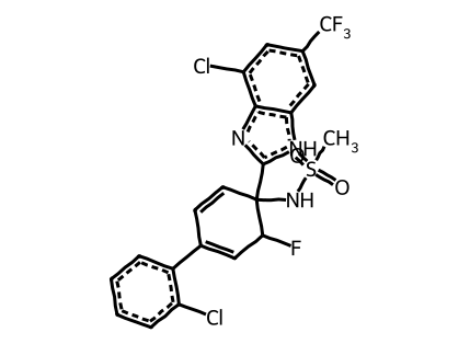 CS(=O)(=O)NC1(c2nc3c(Cl)cc(C(F)(F)F)cc3[nH]2)C=CC(c2ccccc2Cl)=CC1F